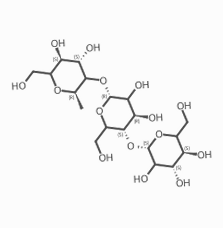 C[C@H]1OC(CO)[C@@H](O)[C@H](O)C1O[C@H]1OC(CO)[C@@H](O[C@@H]2OC(CO)[C@@H](O)[C@H](O)C2O)[C@H](O)C1O